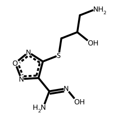 NCC(O)CSc1nonc1/C(N)=N/O